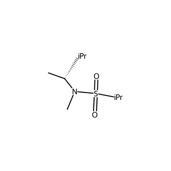 CC(C)[C@@H](C)N(C)S(=O)(=O)C(C)C